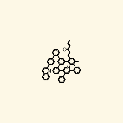 C/C=C/C(=O)CCc1cc(C)c(C)cc1-c1cc(-c2ccccc2-c2ccc(-c3ccc4ccccc4n3)cc2)cc(-c2ccccc2-c2cnc(-c3ccccc3)cc2-c2ccccc2)c1